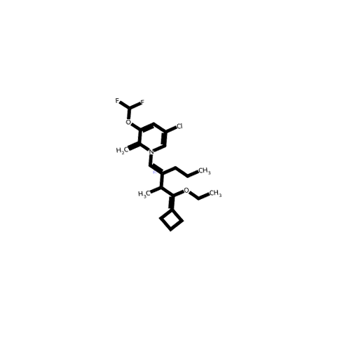 C=C1C(OC(F)F)=CC(Cl)=CN1/C=C(\CCC)C(C)C(OCC)=C1CCC1